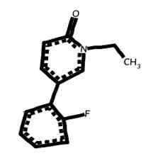 CCn1cc(-c2[c]cccc2F)ccc1=O